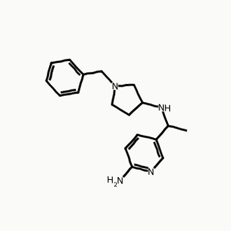 CC(NC1CCN(Cc2ccccc2)C1)c1ccc(N)nc1